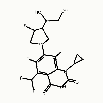 Cc1c(N2CC(F)C(C(O)CO)C2)c(F)c(C(F)F)c2c(=O)[nH]c(=O)n(C3CC3)c12